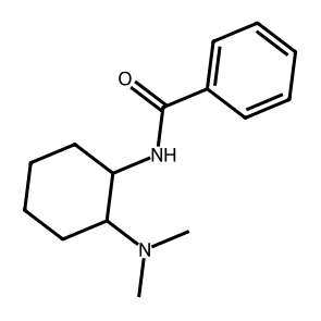 CN(C)C1CCCCC1NC(=O)c1ccccc1